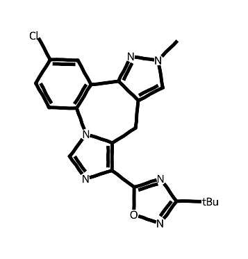 Cn1cc2c(n1)-c1cc(Cl)ccc1-n1cnc(-c3nc(C(C)(C)C)no3)c1C2